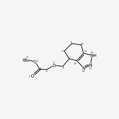 CC(C)(C)OC(=O)COCC1CCCc2[nH]nnc21